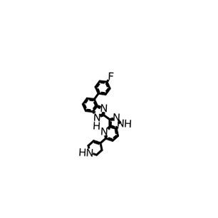 Fc1ccc(-c2cccc3[nH]c(-c4n[nH]c5ccc(C6=CCNCC6)nc45)nc23)cc1